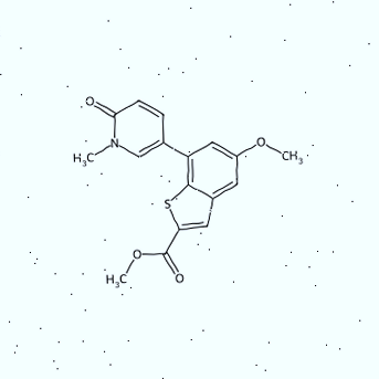 COC(=O)c1cc2cc(OC)cc(-c3ccc(=O)n(C)c3)c2s1